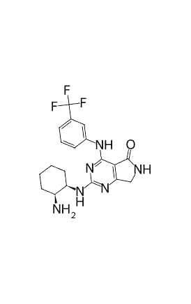 N[C@H]1CCCC[C@H]1Nc1nc2c(c(Nc3cccc(C(F)(F)F)c3)n1)C(=O)NC2